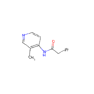 Cc1cnccc1NC(=O)CC(C)C